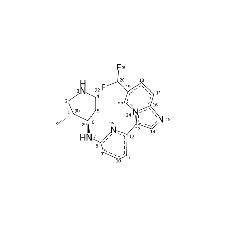 C[C@@H]1CNCC[C@H]1Nc1cccc(-c2cnc3ccc(C(F)F)cn23)n1